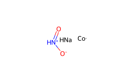 O=[NH+][O-].[Co].[NaH]